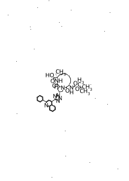 CC[C@]1(C(=O)O)/C=C\CCCC[C@H](NC(=O)OC(C)(C)C)C(=O)N2C[C@H](n3nnc(-c4cc(-c5ccccc5)nc5ccccc45)n3)C[C@H]2C(=O)N1